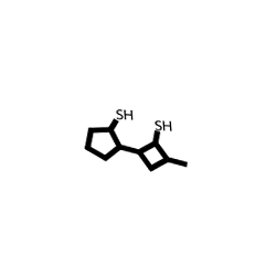 CC1CC(C2CCCC2S)C1S